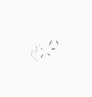 CCC(C)(CC)C(=O)/C(=C\N(C)C)C(=O)c1ccc(Cl)cc1